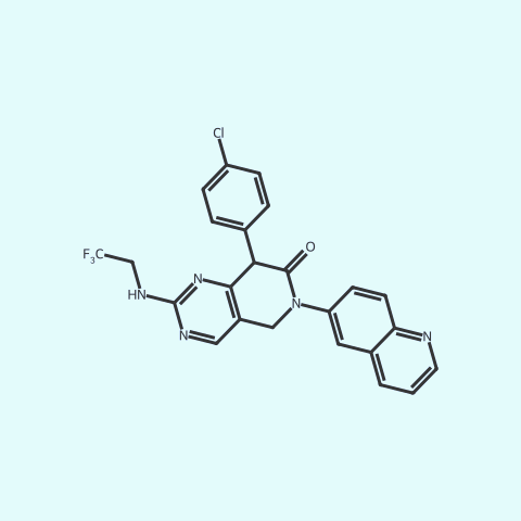 O=C1C(c2ccc(Cl)cc2)c2nc(NCC(F)(F)F)ncc2CN1c1ccc2ncccc2c1